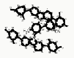 Cc1ccc(-c2ccc3c4ccc(-c5ccc(C)cc5C)cc4n(-c4cc(C(F)(F)F)c(-n5c6cc(-c7ccc(C)cc7C)ccc6c6ccc(-c7ccc(C)cc7C)cc65)cc4-c4cccc(C#N)c4)c3c2)c(C)c1